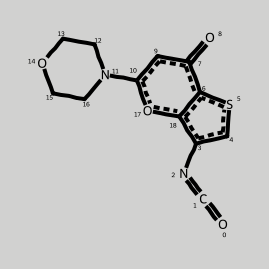 O=C=Nc1csc2c(=O)cc(N3CCOCC3)oc12